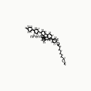 C=COCCCCCCCCOc1ccc(-c2ccc3c(c2)C2(c4cc(-c5ccc(-c6ccc(C)cc6)cc5)ccc4-3)C3(CCCCC)CCC2(CCCCC)CC3)cc1